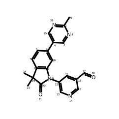 Cc1ncc(-c2ccc3c(c2)N(c2cncc(C=O)c2)C(=O)C3(C)C)cn1